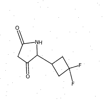 O=C1CC(=O)C(C2CC(F)(F)C2)N1